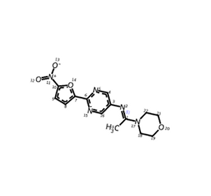 C/C(=N\c1cnc(-c2ccc([N+](=O)[O-])o2)nc1)N1CCOCC1